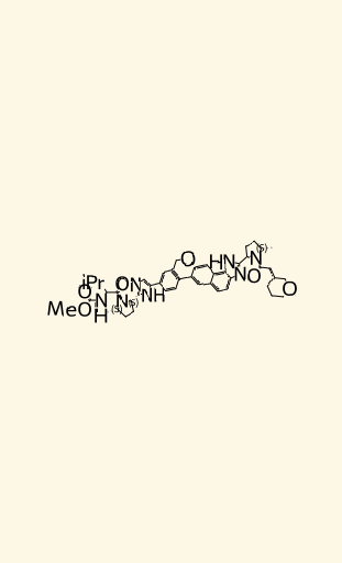 COC(=O)NC(C(=O)N1[C@@H](C)CC[C@H]1c1ncc(-c2ccc3c(c2)COc2cc4c(ccc5nc(C6CC[C@H](C)N6C(=O)CC6CCCOC6)[nH]c54)cc2-3)[nH]1)C(C)C